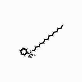 CCCCCCCCCCCCCCO[Si](O)(O)c1ccccc1